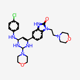 O=c1[nH]c2cc(C3=CC(Nc4ccc(Cl)cc4)NC(N4CCOCC4)N3)ccc2n1CCN1CCOCC1